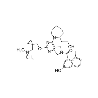 CN(C)CC1(COc2nc3c(c(N4CCCCCC4CCO)n2)CN(C(=O)c2cc(O)cc4cccc(I)c24)C3)CC1